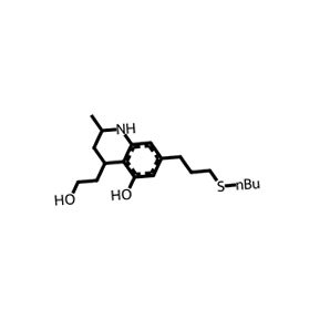 CCCCSCCCc1cc(O)c2c(c1)NC(C)CC2CCO